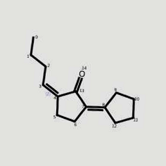 CCC/C=C1/CCC(=C2CCCC2)C1=O